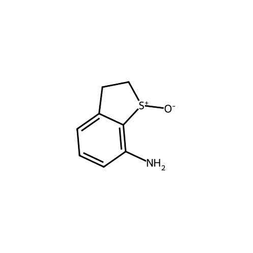 Nc1cccc2c1[S+]([O-])CC2